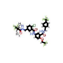 CC(C)(C(=O)NCc1ccc(Cl)c(C(=O)Nc2ccc(OCC(F)F)c(C(=O)NCc3ccc(C(F)(F)F)cc3)c2)c1)C(F)(F)F